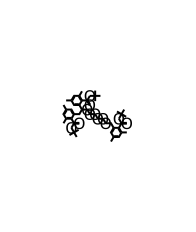 Cc1cc(C)c(C(=O)OC(C)(C)C)c(COOOOOOC(Cc2cc(C)cc(C)c2C(=O)OC(C)(C)C)c2cc(C)cc(C)c2C(=O)OC(C)(C)C)c1